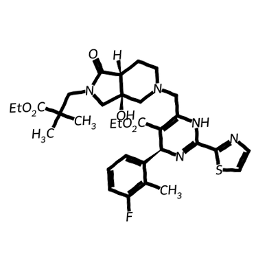 CCOC(=O)C1=C(CN2CC[C@H]3C(=O)N(CC(C)(C)C(=O)OCC)C[C@@]3(O)C2)NC(c2nccs2)=N[C@H]1c1cccc(F)c1C